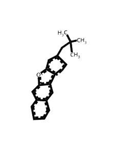 CC(C)(C)Cc1ccc2c(c1)oc1cc3ccccc3cc12